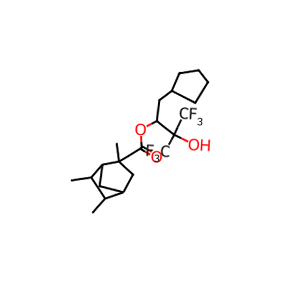 CC1C2CC(C1C)C(C)(C(=O)OC(CC1CCCC1)C(O)(C(F)(F)F)C(F)(F)F)C2